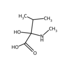 CNC(O)(C(=O)O)C(C)C